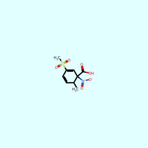 CC1C=CC(S(C)(=O)=O)=CC1(C(=O)O)[N+](=O)[O-]